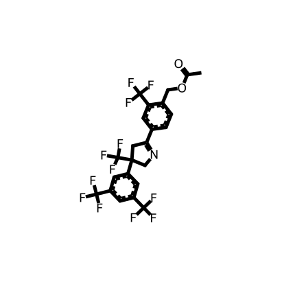 CC(=O)OCc1ccc(C2=NCC(c3cc(C(F)(F)F)cc(C(F)(F)F)c3)(C(F)(F)F)C2)cc1C(F)(F)F